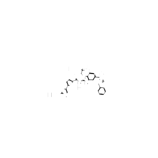 Cc1ncc(-c2ccc(C(=O)Nc3nc4cc(C(=O)N(C)Cc5ccccc5)ccc4n3CC(C)(C)O)s2)o1